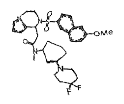 COc1ccc2cc(S(=O)(=O)N3CCn4cccc4C3CC(=O)N(C)C3CCCC(N4CCC(F)(F)CC4)C3)ccc2c1